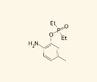 CCP(=O)(CC)Oc1cc(C)ccc1N